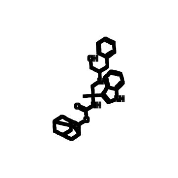 CC(CNC(CO)Cc1ccccc1)(NC(=O)OC1C2CC3CC(C2)CC1C3)c1c[nH]c2ccccc12